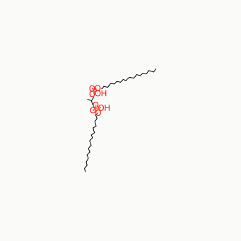 CCCCCCCCCCCCCCCCCCOP(=O)(O)OCC(C)COP(=O)(O)OCCCCCCCCCCCCCCCCCC